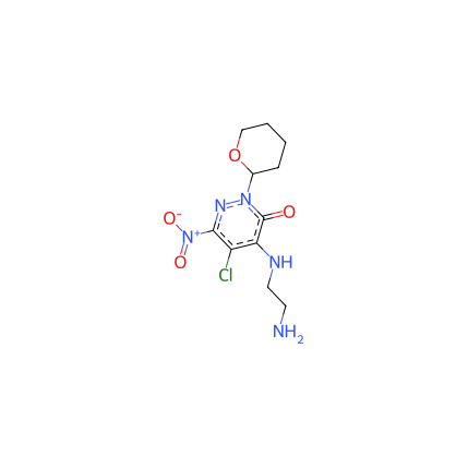 NCCNc1c(Cl)c([N+](=O)[O-])nn(C2CCCCO2)c1=O